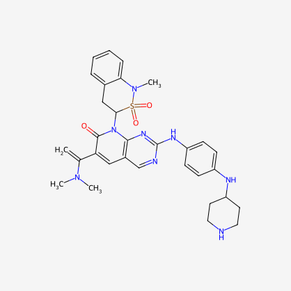 C=C(c1cc2cnc(Nc3ccc(NC4CCNCC4)cc3)nc2n(C2Cc3ccccc3N(C)S2(=O)=O)c1=O)N(C)C